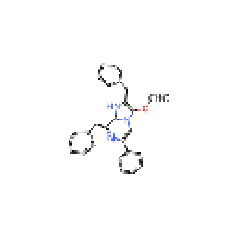 O=COC1=C(Cc2ccccc2)NC2C(Cc3ccccc3)=NC(c3ccccc3)=CN12